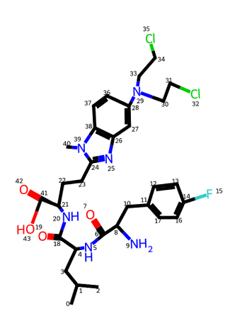 CC(C)CC(NC(=O)C(N)Cc1ccc(F)cc1)C(=O)NC(CCc1nc2cc(N(CCCl)CCCl)ccc2n1C)C(=O)O